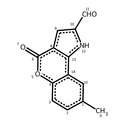 Cc1ccc2oc(=O)c3cc(C=O)[nH]c3c2c1